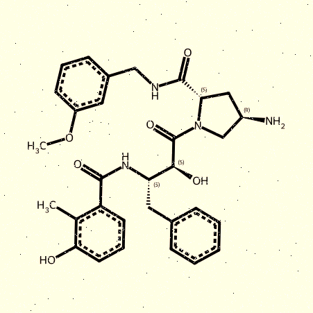 COc1cccc(CNC(=O)[C@@H]2C[C@@H](N)CN2C(=O)[C@@H](O)[C@H](Cc2ccccc2)NC(=O)c2cccc(O)c2C)c1